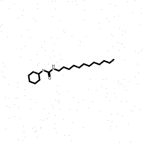 CCCCCCCCCCCCNC(=O)[N]C1CCCCC1